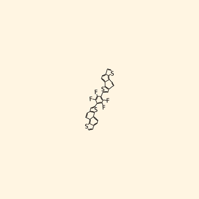 Fc1c(F)c(-c2cc3ccc4c(ccc5ccsc54)c3s2)c(F)c(F)c1-c1cc2ccc3c(ccc4ccsc43)c2s1